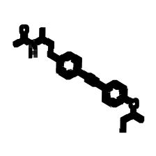 CCC(C)Oc1ccc(C#Cc2ccc(CCC(C)NC(C)=O)cc2)cc1